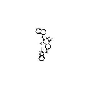 CCc1sc2ccccc2c1CN1CCN2C(=O)C(C)(C)N(Cc3cccc4ccccc34)C(=O)C2C1